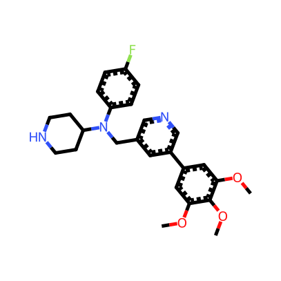 COc1cc(-c2cncc(CN(c3ccc(F)cc3)C3CCNCC3)c2)cc(OC)c1OC